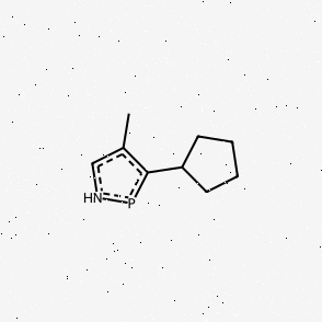 Cc1c[nH]pc1C1CCCC1